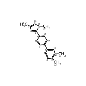 Cc1cc(-c2ccc(-c3ccc(C)c(C)c3)cc2)n(C)n1